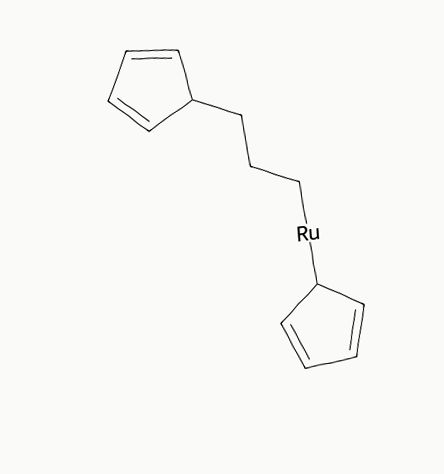 C1=CC(CC[CH2][Ru][CH]2C=CC=C2)C=C1